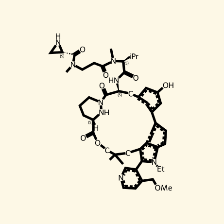 CCn1c(-c2cnccc2COC)c2c3cc(ccc31)-c1cc(O)cc(c1)C[C@H](NC(=O)[C@H](C(C)C)N(C)C(=O)CCN(C)C(=O)[C@@H]1CN1)C(=O)N1CCC[C@H](N1)C(=O)OCC(C)(C)C2